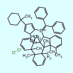 CC1=CC=CC2[CH]([Zr+2]([C]3=CC(C4(C)CCCCC4)=CC3C)=[C](c3ccccc3)c3ccccc3)C3(C)C4(C)C=CC=CC4(C)C4(C)C=CC=CC4(C)C3(C)C12C.[Cl-].[Cl-]